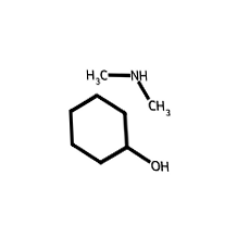 CNC.OC1CCCCC1